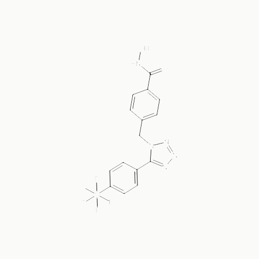 O=C(NO)c1ccc(Cn2nnnc2-c2ccc(S(F)(F)(F)(F)F)cc2)cc1